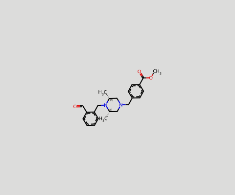 COC(=O)c1ccc(CN2C[C@@H](C)N(Cc3ccccc3C=O)[C@@H](C)C2)cc1